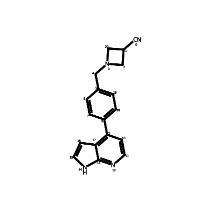 N#CC1CN(Cc2ccc(-c3ccnc4[nH]ccc34)cc2)C1